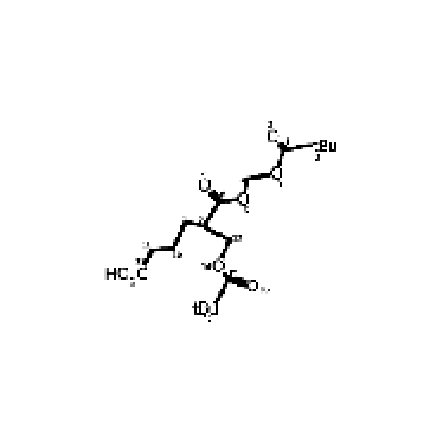 CC(C)(C)C(=O)OCOC(=O)C(CCCC(=O)O)COC(=O)C(C)(C)C